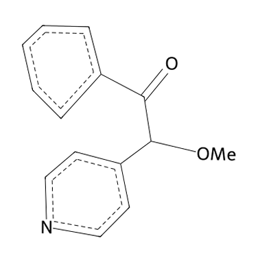 COC(C(=O)c1ccccc1)c1ccncc1